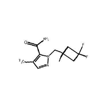 CC1(Cn2ncc(C(F)(F)F)c2C(N)=O)CC(F)(F)C1